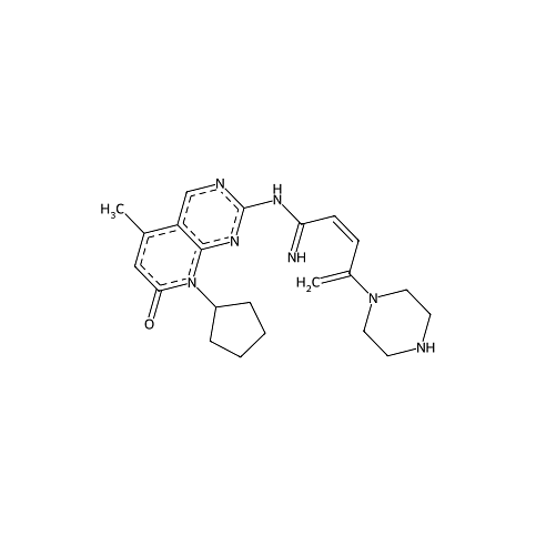 C=C(/C=C\C(=N)Nc1ncc2c(C)cc(=O)n(C3CCCC3)c2n1)N1CCNCC1